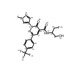 Cn1cc(-n2nc(-c3ccc(C(F)(F)F)cc3)cc(C(=O)NC(CO)CF)c2=O)cn1